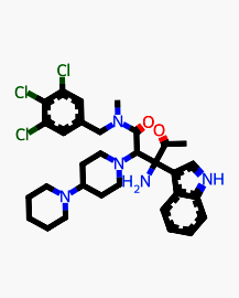 CC(=O)C(N)(c1c[nH]c2ccccc12)C(C(=O)N(C)Cc1cc(Cl)c(Cl)c(Cl)c1)N1CCC(N2CCCCC2)CC1